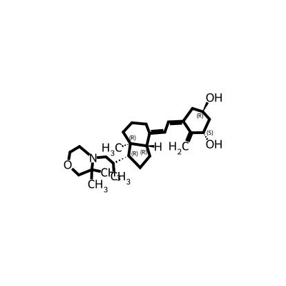 C=C1C(=CC=C2CCC[C@]3(C)[C@@H](C(C)CN4CCOCC4(C)C)CC[C@@H]23)C[C@@H](O)C[C@@H]1O